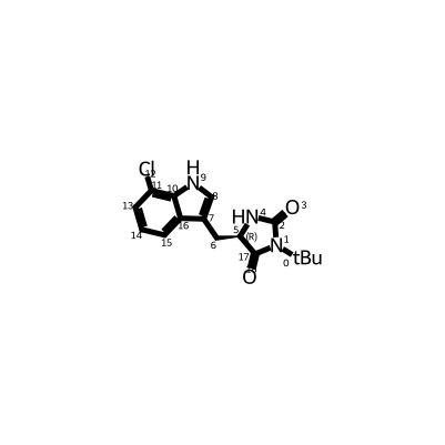 CC(C)(C)N1C(=O)N[C@H](Cc2c[nH]c3c(Cl)cccc23)C1=O